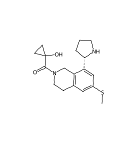 CSc1cc2c(c([C@@H]3CCCN3)c1)CN(C(=O)C1(O)CC1)CC2